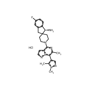 Cc1nc(N2CCC3(CC2)Cc2cc(F)ccc2[C@H]3N)c2ccnn2c1-c1cnn(C)c1C.Cl